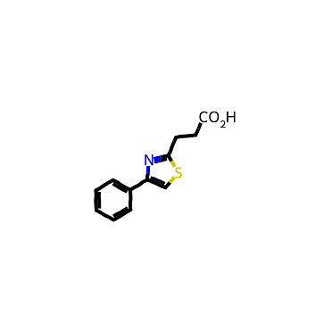 O=C(O)CCc1nc(-c2ccccc2)cs1